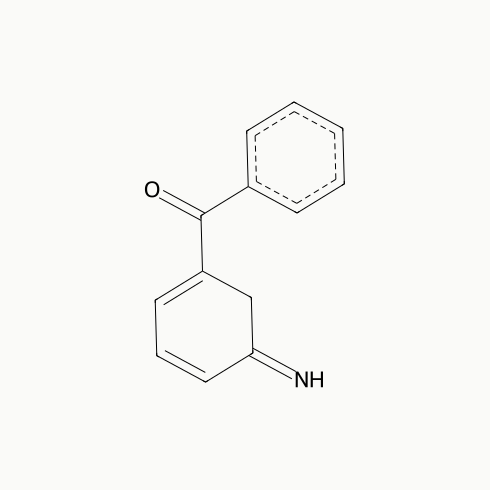 N=C1C=CC=C(C(=O)c2ccccc2)C1